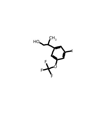 C[C](CO)c1cc(I)cc(OC(F)(F)F)c1